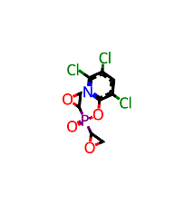 O=P(Oc1nc(Cl)c(Cl)cc1Cl)(C1CO1)C1CO1